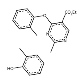 CCOC(=O)c1cnc(C)nc1Oc1ccccc1C.Cc1ccccc1O